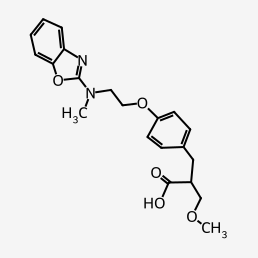 COCC(Cc1ccc(OCCN(C)c2nc3ccccc3o2)cc1)C(=O)O